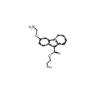 NCOc1ccc2c(C(=O)OCCO)c3ccccn3c2c1